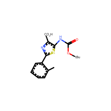 Cc1ccccc1-c1nc(C(=O)O)c(NC(=O)OC(C)(C)C)s1